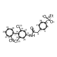 CCS(=O)(=O)c1ccc(CC(=O)Nc2cc(Cl)c(-c3ccccc3C#N)c(Cl)c2)cc1